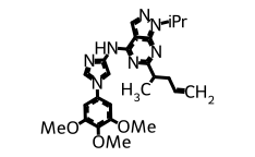 C=CCC(C)c1nc(Nc2cn(-c3cc(OC)c(OC)c(OC)c3)cn2)c2cnn(C(C)C)c2n1